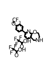 FC(F)(F)Oc1ccc(-c2ccc3c(n2)OCCNC3)cc1.O=C(O)C(F)(F)F.O=C(O)C(F)(F)F